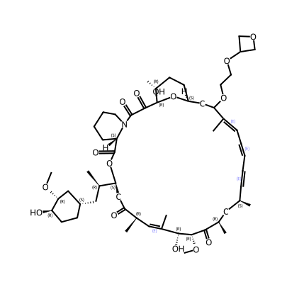 CO[C@@H]1C[C@H](C[C@@H](C)[C@@H]2CC(=O)[C@H](C)/C=C(\C)[C@@H](O)[C@@H](OC)C(=O)[C@H](C)C[C@H](C)/C=C/C=C/C=C(\C)C(OCCOC3COC3)C[C@@H]3CC[C@@H](C)[C@@](O)(O3)C(=O)C(=O)N3CCCC[C@H]3C(=O)O2)CC[C@H]1O